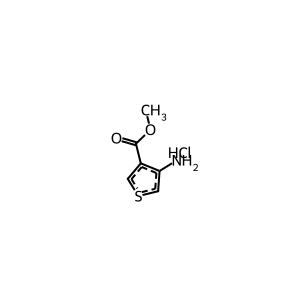 COC(=O)c1cscc1N.Cl